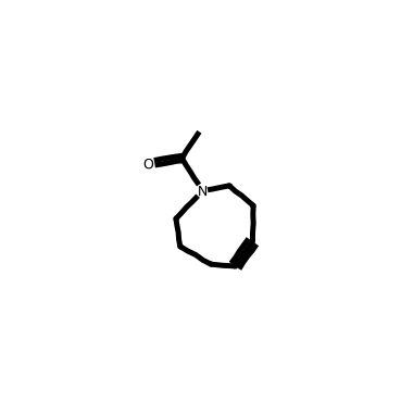 CC(=O)N1CCC#CCCC1